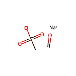 C=O.CS(=O)(=O)[O-].[Na+]